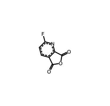 O=C1OC(=O)c2nc(F)ccc21